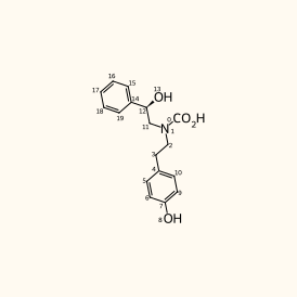 O=C(O)N(CCc1ccc(O)cc1)C[C@H](O)c1ccccc1